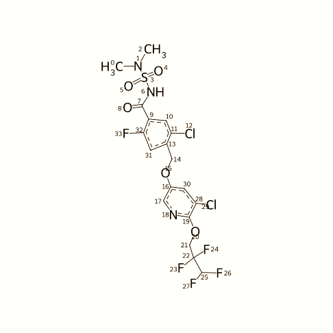 CN(C)S(=O)(=O)NC(=O)c1cc(Cl)c(COc2cnc(OCC(F)(F)C(F)F)c(Cl)c2)cc1F